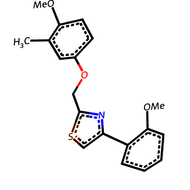 COc1ccc(OCc2nc(-c3ccccc3OC)cs2)cc1C